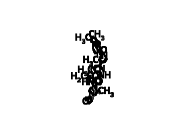 C=CC(=O)Nc1cc(Nc2nc(-c3ccnc(N4CCn5c(cc6c5CC(C)(C)C6)C4=O)c3C)cn(C)c2=O)ccc1N1CCN([C@@H]2CCOC2)C[C@@H]1C